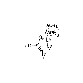 O=[Si]([O-])[O-].[Li+].[Li+].[MgH2].[MgH2]